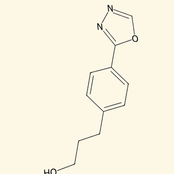 OCCCc1ccc(-c2nnco2)cc1